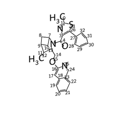 Cc1nc(C(=O)N2C3CC(C3)C(C)C2COc2cc3ccccc3cn2)c(-c2ccccc2)s1